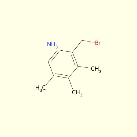 Cc1ccc(CBr)c(C)c1C.N